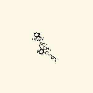 Cc1c(OCCOCF)ccnc1C[S+]([O-])c1nc2ccccc2[nH]1